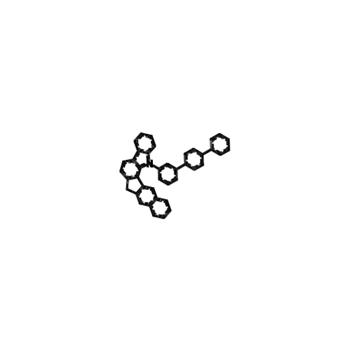 c1ccc(-c2ccc(-c3cccc(-n4c5ccccc5c5ccc6c(c54)-c4cc5ccccc5cc4C6)c3)cc2)cc1